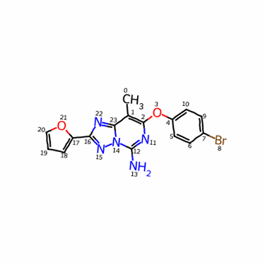 Cc1c(Oc2ccc(Br)cc2)nc(N)n2nc(-c3ccco3)nc12